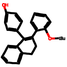 CC(C)(C)Oc1ccccc1C1=C(c2ccc(O)cc2)c2ccccc2CC1